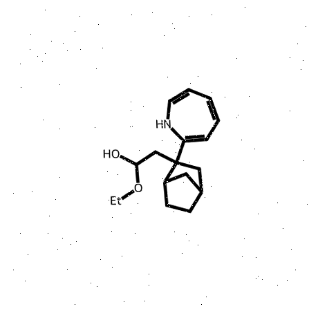 CCOC(O)CC1(C2=CC=CC=CN2)CC2CCC1C2